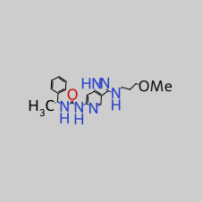 COCCCNc1n[nH]c2cc(NC(=O)N[C@H](C)c3ccccc3)ncc12